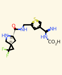 N=C(NC(=O)O)c1csc(CNC(=O)[C@@H]2C[C@@]3(CN2)CC3(F)F)c1